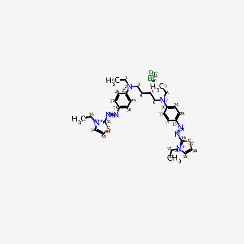 CCN(CCCCN(CC)c1ccc(N=Nc2scc[n+]2CC)cc1)c1ccc(N=Nc2scc[n+]2CC)cc1.[Br-].[Br-]